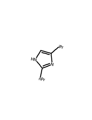 CCCc1nc(C(C)C)c[nH]1